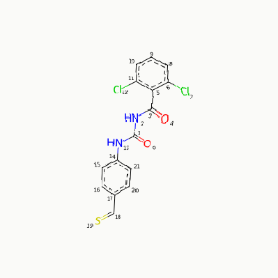 O=C(NC(=O)c1c(Cl)cccc1Cl)Nc1ccc(C=S)cc1